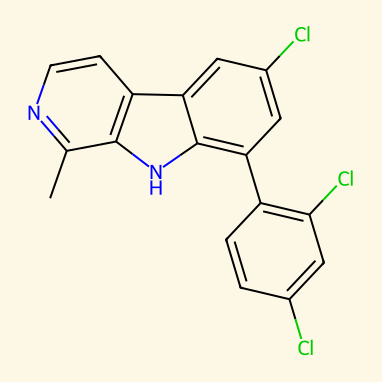 Cc1nccc2c1[nH]c1c(-c3ccc(Cl)cc3Cl)cc(Cl)cc12